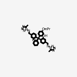 CCCOc1ccc(C(c2ccccc2)(c2ccc(C=Nn3nnnc3C)cc2O)c2ccc(C=Nn3nnnc3C)cc2O)cc1